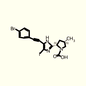 C[C@H]1C[C@@H](c2nc(I)c(C#Cc3ccc(Br)cc3)[nH]2)N(C(=O)O)C1